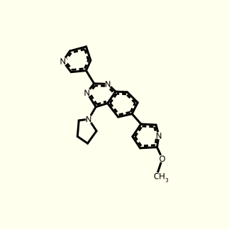 COc1ccc(-c2ccc3nc(-c4cccnc4)nc(N4CCCC4)c3c2)cn1